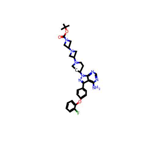 CC(C)(C)OC(=O)N1CC(N2CC(N3CCC(n4nc(-c5ccc(Oc6ccccc6F)cc5)c5c(N)ncnc54)CC3)C2)C1